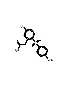 Cc1ccc(S(=O)(=O)c2ccc(C)cc2CC(N)=O)cc1